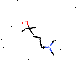 CN(C)CCCC(C)(C)O